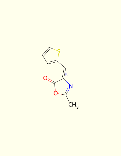 CC1=N/C(=C/c2cccs2)C(=O)O1